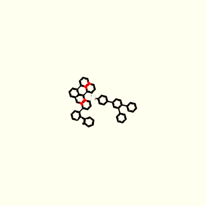 c1ccc(-c2ccc(-c3ccc(N(c4ccc(-c5cccc6sc7ccccc7c56)cc4)c4ccccc4-c4cccc5cccc(-c6ccccc6)c45)cc3)cc2-c2ccccc2)cc1